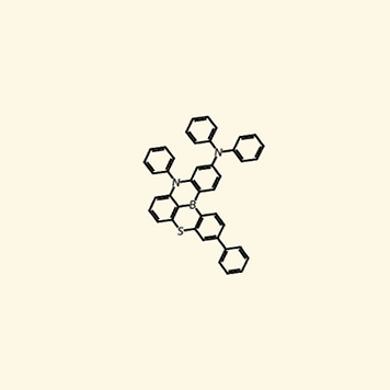 c1ccc(-c2ccc3c(c2)Sc2cccc4c2B3c2ccc(N(c3ccccc3)c3ccccc3)cc2N4c2ccccc2)cc1